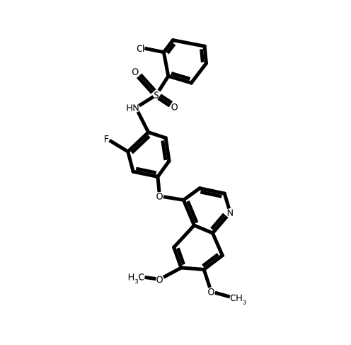 COc1cc2nccc(Oc3ccc(NS(=O)(=O)c4ccccc4Cl)c(F)c3)c2cc1OC